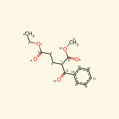 CCOC(=O)CCC(C(=O)OC)C(=O)c1ccccc1